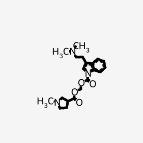 CN(C)CCc1cn(C(=O)OCOC(=O)C2CCN(C)C2)c2ccccc12